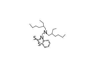 CCCCC(CC)CN(CC(CC)CCCC)Cn1c(=S)sc2ccccc21